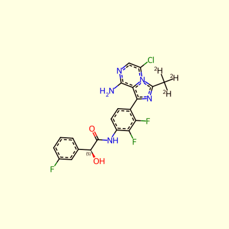 [2H]C([2H])([2H])c1nc(-c2ccc(NC(=O)[C@@H](O)c3cccc(F)c3)c(F)c2F)c2c(N)ncc(Cl)n12